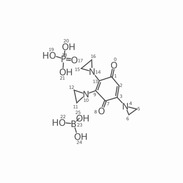 O=C1C=C(N2CC2)C(=O)C(N2CC2)=C1N1CC1.O=P(O)(O)O.OB(O)O